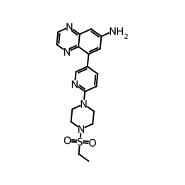 CCS(=O)(=O)N1CCN(c2ccc(-c3cc(N)cc4nccnc34)cn2)CC1